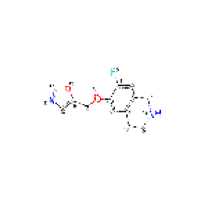 Fc1cc2c(cc1OCc1cnco1)CCNC2